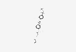 C=CC(=O)OCCC(=O)Nc1ccc2c(c1)n1n(-c3ccc(C(C)(C)CC(C)(C)C)cc3O)n21